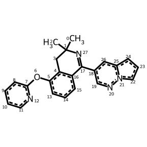 CC1(C)Cc2c(Oc3ccccn3)cccc2C(c2cnn3cccc3c2)=N1